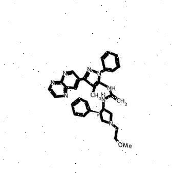 C=C(Nc1c(C)c(-c2cnc3nccnc3c2)nn1-c1ccccc1)NC1CN(CCOC)C[C@H]1c1ccccc1